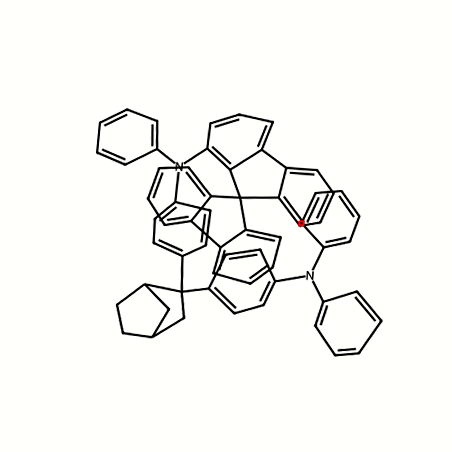 c1ccc(N(c2ccccc2)c2ccc(C3(c4ccc(N(c5ccccc5)c5cccc6c5C5(c7ccccc7-c7ccccc75)c5ccccc5-6)cc4)CC4CCC3C4)cc2)cc1